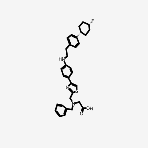 O=C(O)CN(Cc1ccccc1)Cc1nc(-c2ccc(NCCc3ccc([C@H]4CC[C@@H](F)CC4)cc3)cc2)cs1